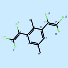 Cc1cc(C(F)=C(F)F)c(C)c(C(F)=C(F)F)c1